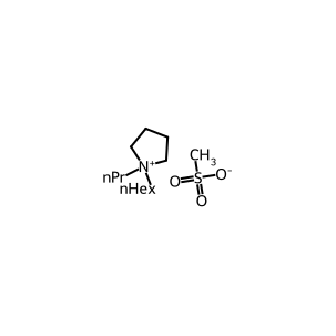 CCCCCC[N+]1(CCC)CCCC1.CS(=O)(=O)[O-]